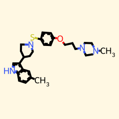 Cc1ccc2[nH]cc(C3CCN(Sc4ccc(OCCCN5CCN(C)CC5)cc4)CC3)c2c1